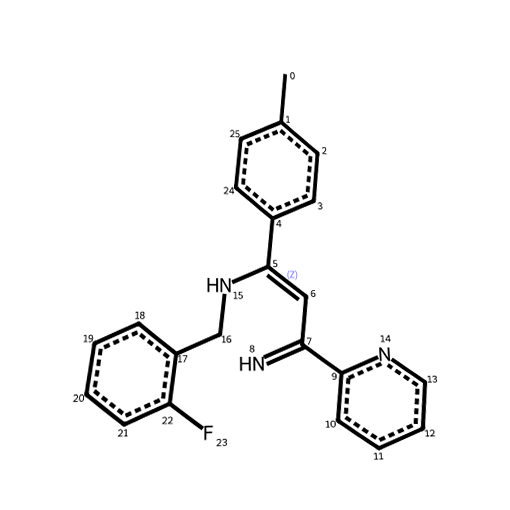 Cc1ccc(/C(=C/C(=N)c2ccccn2)NCc2ccccc2F)cc1